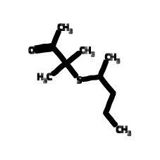 CCCC(C)SC(C)(C)C(C)=O